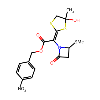 CSC1CC(=O)N1C(C(=O)OCc1ccc([N+](=O)[O-])cc1)=C1SCC(C)(O)S1